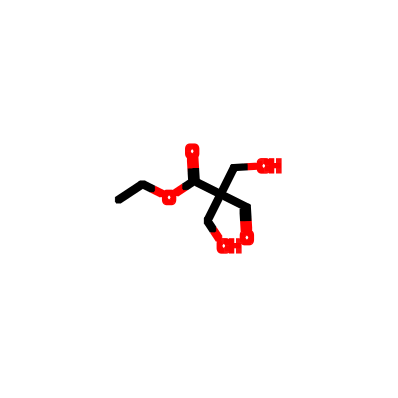 CCOC(=O)C(C=O)(CO)CO